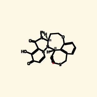 CC(C)N1C(=O)c2c(O)c(=O)ccn2N2[C@H]3c4ccccc4SCc4cccc(c43)OCC[C@H]12